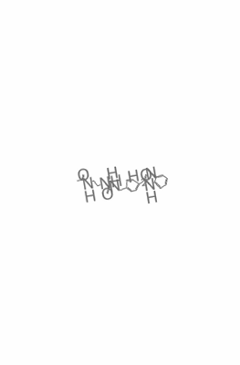 CC(=O)NCCNC(=O)NCc1ccc(C(=O)Nc2ccccc2N)cc1